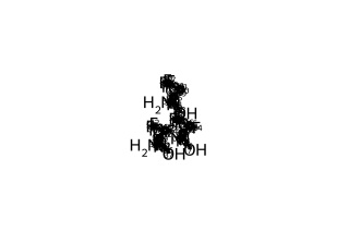 Nc1nn(CCCO)c2cc(-c3cc(F)ccc3OCC(F)(F)C(F)(F)F)ccc12.Nc1nn(CCCO)c2cc(-c3cc(F)ccc3OCC(F)(F)F)ccc12.Nc1nn(CCCO)c2cc(-c3ccccc3OCC(F)(F)C(F)(F)F)ccc12